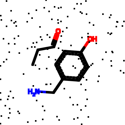 CCC=O.NCc1ccc(O)cc1